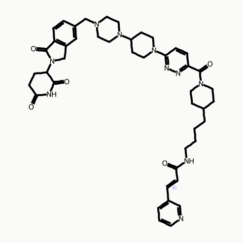 O=C(/C=C/c1cccnc1)NCCCCC1CCN(C(=O)c2ccc(N3CCC(N4CCN(Cc5ccc6c(c5)CN(C5CCC(=O)NC5=O)C6=O)CC4)CC3)nn2)CC1